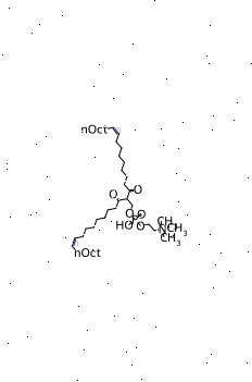 CCCCCCCC/C=C\CCCCCCCC(=O)C(COP(=O)(O)OCC[N+](C)(C)C)C(=O)CCCCCCC/C=C\CCCCCCCC